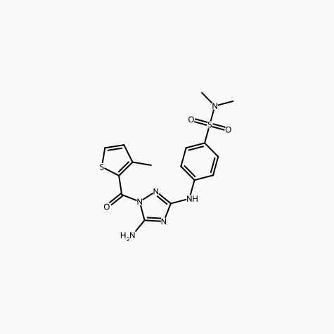 Cc1ccsc1C(=O)n1nc(Nc2ccc(S(=O)(=O)N(C)C)cc2)nc1N